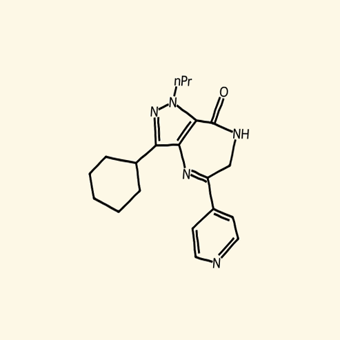 CCCn1nc(C2CCCCC2)c2c1C(=O)NCC(c1ccncc1)=N2